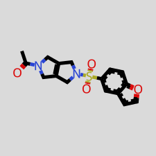 CC(=O)N1CC2=C(C1)CN(S(=O)(=O)c1ccc3occc3c1)C2